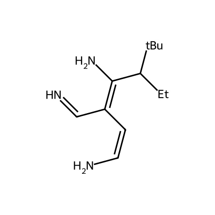 CCC(/C(N)=C(C=N)\C=C/N)C(C)(C)C